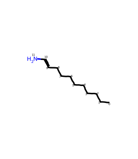 CCCCCCCCCC=CN